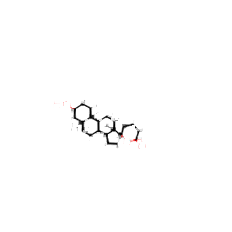 C[C@@H]1CCC(=O)O[C@@]12CCC1C3CC[C@H]4C[C@@H](O)CC[C@]4(C)C3CC[C@@]12C